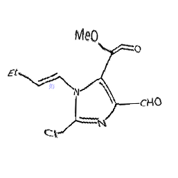 CC/C=C/n1c(Cl)nc(C=O)c1C(=O)OC